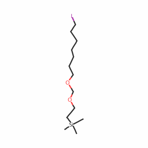 C[Si](C)(C)CCOCOCCCCCCCI